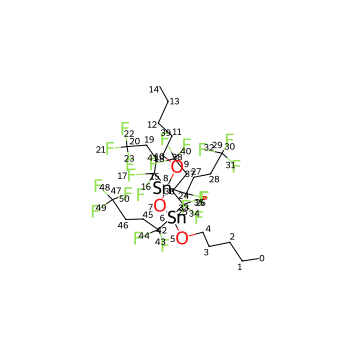 CCCCC[O][Sn]([O][Sn]([O]CCCCC)([C](F)(F)CCC(F)(F)F)[C](F)(F)CCC(F)(F)F)([C](F)(F)CCC(F)(F)F)[C](F)(F)CCC(F)(F)F